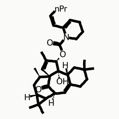 CCC/C=C\C1=CCCCN1C(=O)O[C@H]1C(C)=C[C@]23C(=O)[C@@H](C=C4CCC(C)(C)C[C@H]4[C@]12O)C1[C@@H](C[C@H]3C)C1(C)C